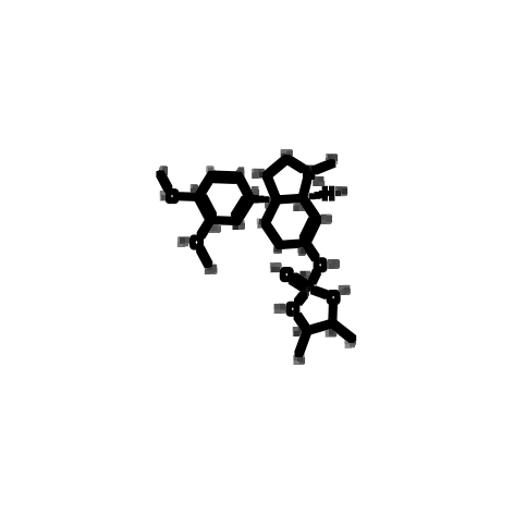 COc1ccc([C@@]23CCC(OP4(=O)OC(C)C(C)O4)=C[C@@H]2N(C)CC3)cc1OC